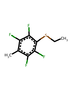 [CH2]c1c(F)c(F)c(SCC)c(F)c1F